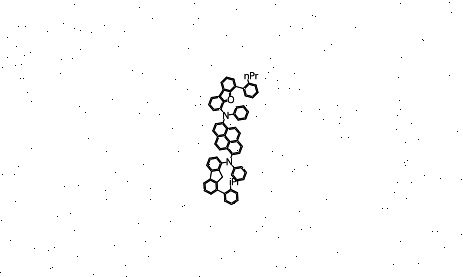 CCCc1ccccc1-c1cccc2c1oc1c(N(c3ccccc3)c3ccc4ccc5c(N(c6ccccc6)c6cccc7c6Cc6c(-c8ccccc8C(C)C)cccc6-7)ccc6ccc3c4c65)cccc12